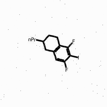 CCCC1CCc2c(cc(F)c(I)c2F)C1